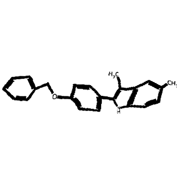 Cc1ccc2[nH]c(-c3ccc(OCc4ccccc4)cc3)c(C)c2c1